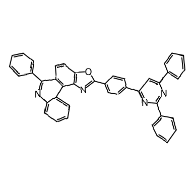 c1ccc(-c2cc(-c3ccc(-c4nc5c(ccc6c(-c7ccccc7)nc7ccccc7c65)o4)cc3)nc(-c3ccccc3)n2)cc1